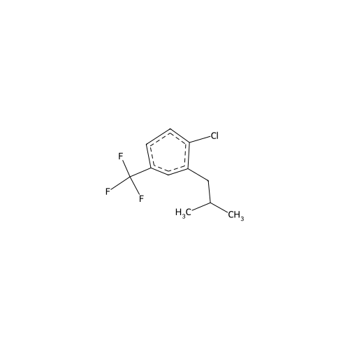 CC(C)Cc1cc(C(F)(F)F)ccc1Cl